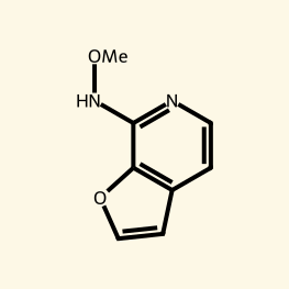 CONc1nccc2ccoc12